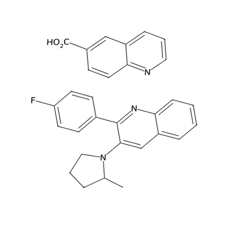 CC1CCCN1c1cc2ccccc2nc1-c1ccc(F)cc1.O=C(O)c1ccc2ncccc2c1